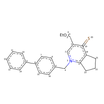 CCOC(=O)c1cn(Cc2ccc(-c3ccccc3)cc2)c2c(c1=S)CCC2